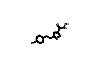 O=C(NO)c1cc(CSc2ccc(Cl)cc2)on1